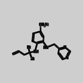 C=CCC(CC)(CC)Nc1ccc(C(=O)OCC)cc1NCc1ccncn1